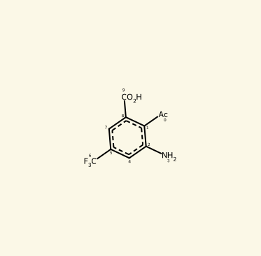 CC(=O)c1c(N)cc(C(F)(F)F)cc1C(=O)O